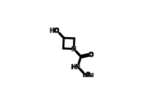 CCCCNC(=O)N1CC(O)C1